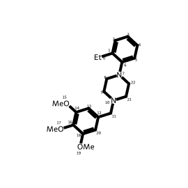 CCc1ccccc1N1CCN(Cc2cc(OC)c(OC)c(OC)c2)CC1